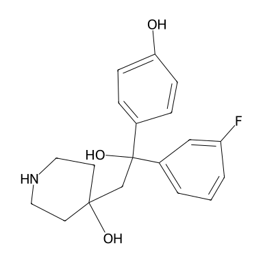 Oc1ccc(C(O)(CC2(O)CCNCC2)c2cccc(F)c2)cc1